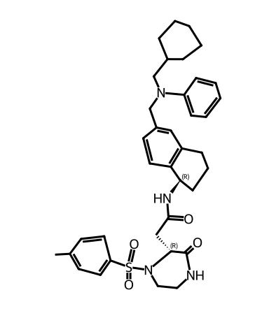 Cc1ccc(S(=O)(=O)N2CCNC(=O)[C@H]2CC(=O)N[C@@H]2CCCc3cc(CN(CC4CCCCC4)c4ccccc4)ccc32)cc1